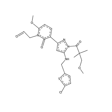 COCC(C)(C)C(=O)n1nc(-c2ccc(OC)n(CC=O)c2=O)cc1NCc1ccc(Cl)s1